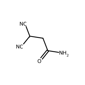 N#C[C](C#N)CC(N)=O